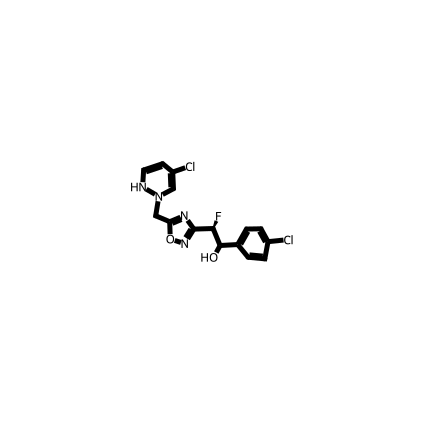 OC(c1ccc(Cl)cc1)[C@H](F)c1noc(CN2C=C(Cl)C=CN2)n1